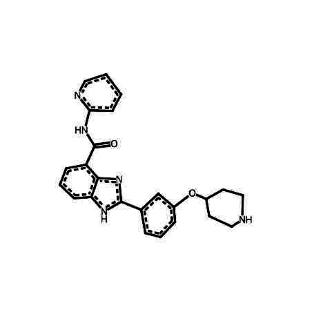 O=C(Nc1ccccn1)c1cccc2[nH]c(-c3cccc(OC4CCNCC4)c3)nc12